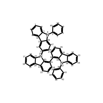 c1ccc(-n2c3ccccc3c3cc(-n4c5ccccc5c5cccc(-c6cccc7c8ccccc8n(-c8ccccc8)c67)c54)ccc32)cc1